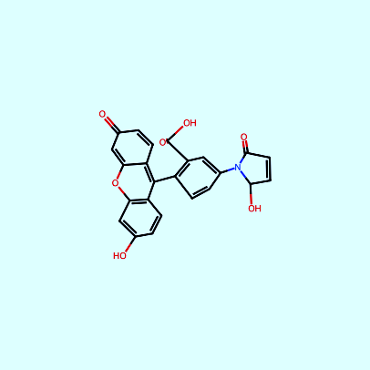 O=C(O)c1cc(N2C(=O)C=CC2O)ccc1-c1c2ccc(=O)cc-2oc2cc(O)ccc12